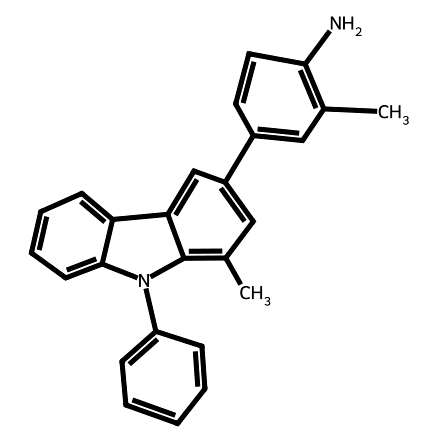 Cc1cc(-c2cc(C)c3c(c2)c2ccccc2n3-c2ccccc2)ccc1N